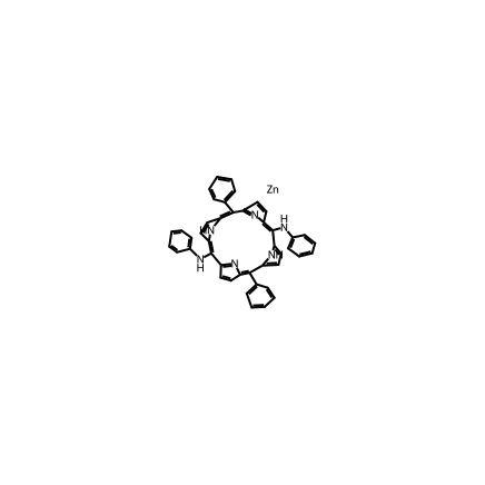 C1=Cc2nc1c(Nc1ccccc1)c1ccc([nH]1)c(-c1ccccc1)c1nc(c(Nc3ccccc3)c3ccc([nH]3)c2-c2ccccc2)C=C1.[Zn]